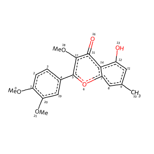 COc1ccc(-c2oc3cc(C)cc(O)c3c(=O)c2OC)cc1OC